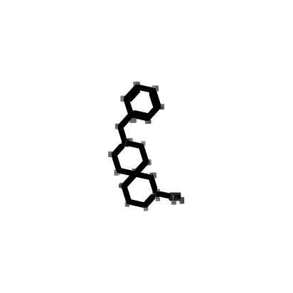 CN1CCCC2(CCN(Cc3ccccc3)CC2)C1